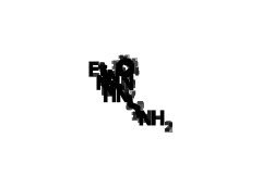 CCc1nnc2c(NCCCCN)nc3ccccc3n12